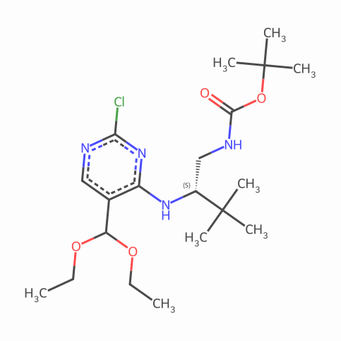 CCOC(OCC)c1cnc(Cl)nc1N[C@H](CNC(=O)OC(C)(C)C)C(C)(C)C